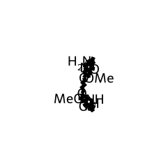 C=C1C[C@H]2CNc3cc(OCCCCCOc4cc5c(cc4OC)C(=O)N4CC(=C)C[C@@]4(N)C=N5)c(OC)cc3C(=O)N2C1